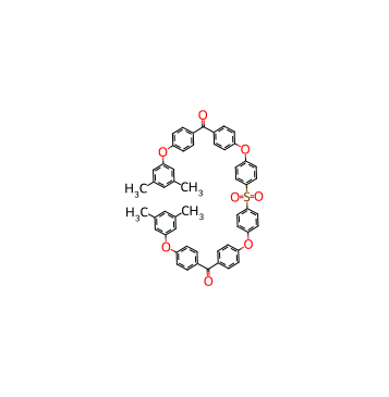 Cc1cc(C)cc(Oc2ccc(C(=O)c3ccc(Oc4ccc(S(=O)(=O)c5ccc(Oc6ccc(C(=O)c7ccc(Oc8cc(C)cc(C)c8)cc7)cc6)cc5)cc4)cc3)cc2)c1